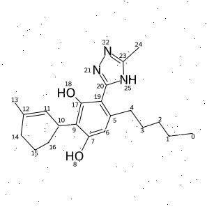 CCCCCc1cc(O)c(C2C=C(C)CCC2)c(O)c1-c1nnc(C)[nH]1